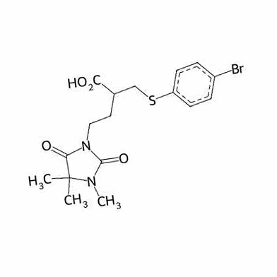 CN1C(=O)N(CCC(CSc2ccc(Br)cc2)C(=O)O)C(=O)C1(C)C